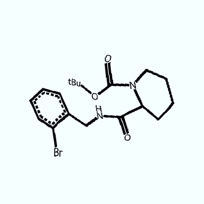 CC(C)(C)OC(=O)N1CCCCC1C(=O)NCc1ccccc1Br